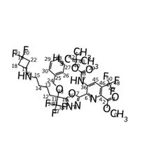 COC(=O)c1nc(-c2nnc(C(CCCCNC3CC(F)(F)C3)(OCc3ccccc3)C(F)(F)F)o2)c(NC(=O)OC(C)(C)C)cc1C(F)(F)F